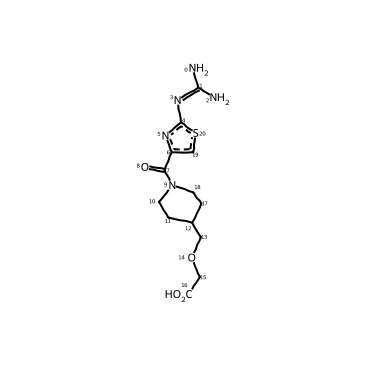 NC(N)=Nc1nc(C(=O)N2CCC(COCC(=O)O)CC2)cs1